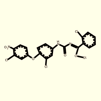 CCO/C(=N\C(=O)Nc1ccc(Oc2ccc([N+](=O)[O-])c(Cl)c2)c(Cl)c1)c1ccccc1Cl